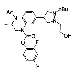 CCCCN1CC(c2ccc3c(c2)N(C(=O)Oc2ccc(F)cc2F)C[C@H](C)N3C(C)=O)CN1CCO